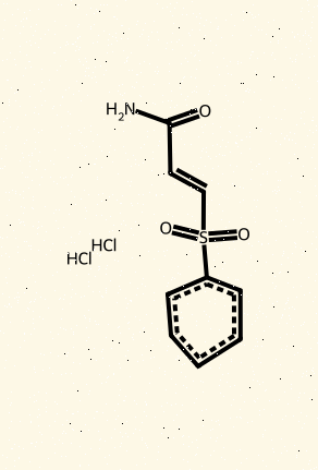 Cl.Cl.NC(=O)C=CS(=O)(=O)c1ccccc1